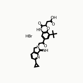 Br.CC(C)(C)c1cc(C(=O)CN2Cc3ccc(C4CC4)nc3C2=N)cc2c1OC(CC(=O)O)C(=O)N2